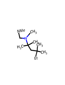 CCC(C)(C)CC(C)(C)N(C)CNC